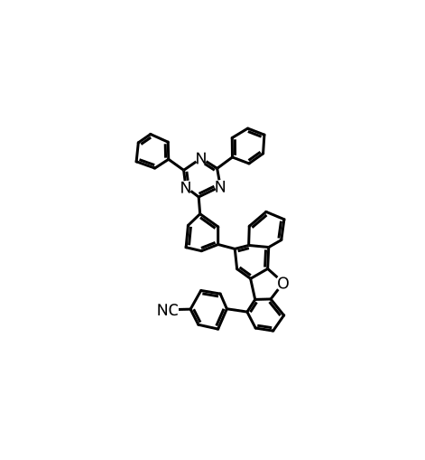 N#Cc1ccc(-c2cccc3oc4c5ccccc5c(-c5cccc(-c6nc(-c7ccccc7)nc(-c7ccccc7)n6)c5)cc4c23)cc1